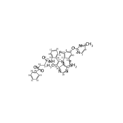 Cc1ccnc(Oc2cc(F)c(-n3c(-c4ccccc4NC(=O)CCS(=O)(=O)c4ccccc4)c(C)c4ncnc(N)c43)c(F)c2)n1